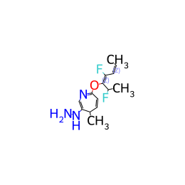 C/C=C\C(F)=C(\OC1=NC=C(NN)C(C)C=C1)C(C)F